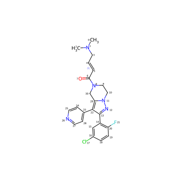 CN(C)C/C=C/C(=O)N1CCn2nc(-c3cc(Cl)ccc3F)c(-c3ccncc3)c2C1